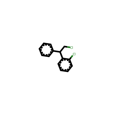 ClCC(c1ccccc1)c1ccccc1Cl